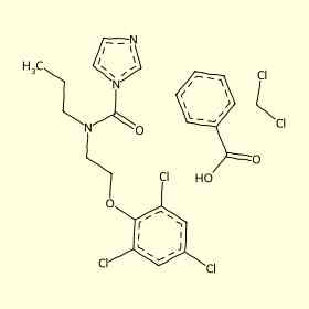 CCCN(CCOc1c(Cl)cc(Cl)cc1Cl)C(=O)n1ccnc1.ClCCl.O=C(O)c1ccccc1